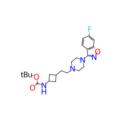 CC(C)(C)OC(=O)NC1CC(CCN2CCN(c3noc4cc(F)ccc34)CC2)C1